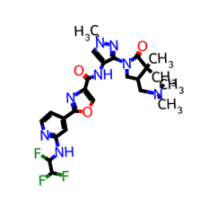 CN(C)CC1CN(c2nn(C)cc2NC(=O)c2coc(-c3ccnc(NC(F)C(F)F)c3)n2)C(=O)C1(C)C